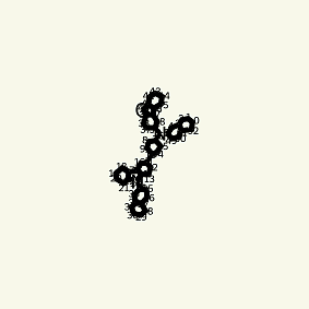 c1ccc2cc(N(c3ccc(-c4ccc5c(c4)c4ccccc4n5-c4ccc5ccccc5c4)cc3)c3ccc4oc5ccccc5c4c3)ccc2c1